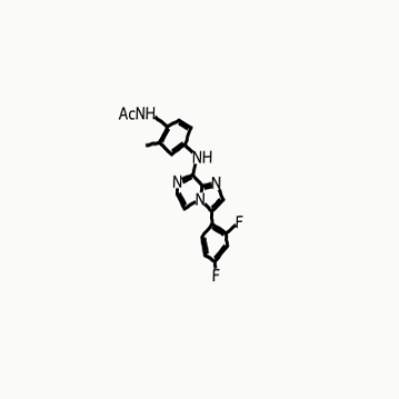 CC(=O)Nc1ccc(Nc2nccn3c(-c4ccc(F)cc4F)cnc23)cc1C